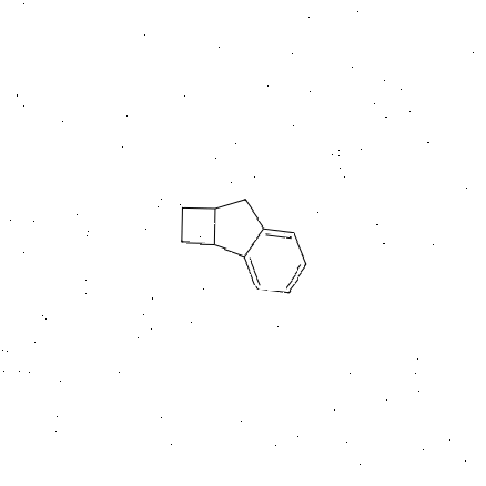 c1ccc2c(c1)CC1CCC21